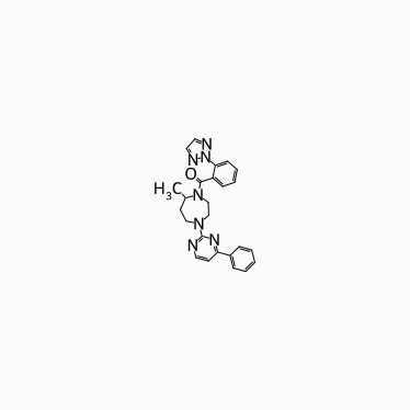 CC1CCN(c2nccc(-c3ccccc3)n2)CCN1C(=O)c1ccccc1-n1nccn1